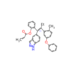 C=CC(=O)Oc1ccccc1/C(=C(\CC)c1cc(Oc2ccccc2)ccc1C)c1ccc2[nH]ncc2c1